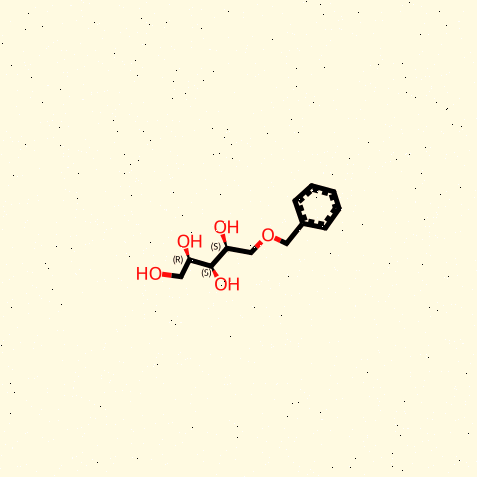 OC[C@@H](O)[C@H](O)[C@@H](O)COCc1ccccc1